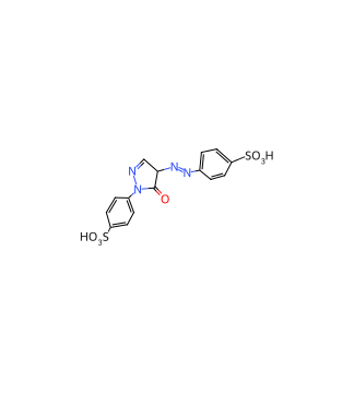 O=C1C(N=Nc2ccc(S(=O)(=O)O)cc2)C=NN1c1ccc(S(=O)(=O)O)cc1